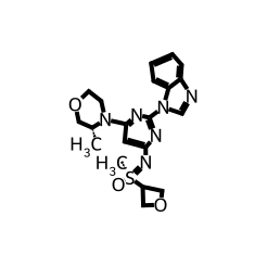 C[C@@H]1COCCN1c1cc(N=[S@](C)(=O)C2COC2)nc(-n2cnc3ccccc32)n1